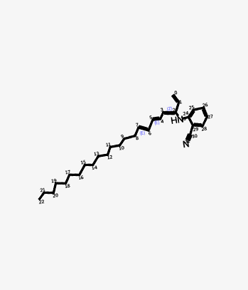 C=C/C(=C/C=C/C=C/CCCCCCCCCCCCCCC)Nc1ccccc1C#N